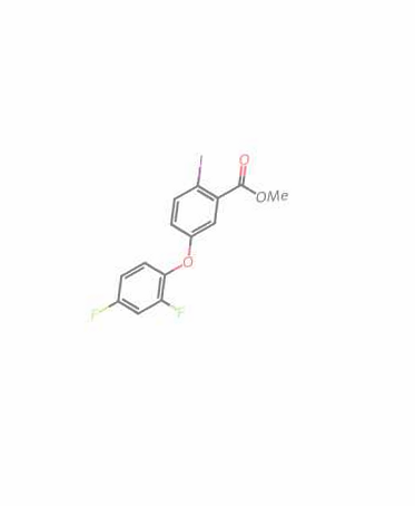 COC(=O)c1cc(Oc2ccc(F)cc2F)ccc1I